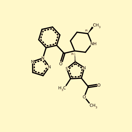 COC(=O)c1nc([C@]2(C(=O)c3ccccc3-n3nccn3)CC[C@@H](C)NC2)sc1C